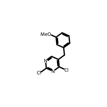 COc1cccc(Cc2cnc(Cl)nc2Cl)c1